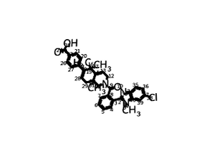 Cn1c(-c2ccccc2C(=O)N2CC=C3C(C)(C)C(c4ccc(C(=O)O)cc4)=CC[C@]3(C)C2)nc2ccc(Cl)cc21